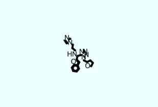 c1ccc2oc(C(NCCCn3ccnc3)c3nnnn3CC3CCCO3)cc2c1